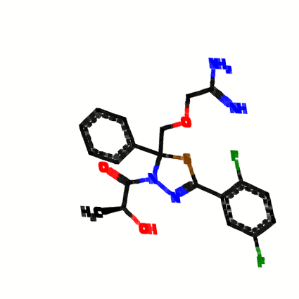 C[C@H](O)C(=O)N1N=C(c2cc(F)ccc2F)SC1(COCC(=N)N)c1ccccc1